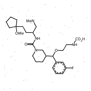 CNCC(CCC1(OC)CCCC1)NC(=O)N1CCCC(C(OCCNC(=O)O)c2cccc(F)c2)C1